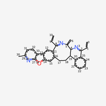 C=CC1=NC2C(=C)/N=C(/C=C)c3cc4c(cc3CCC2c2ccccc21)oc1nc(C)ccc14